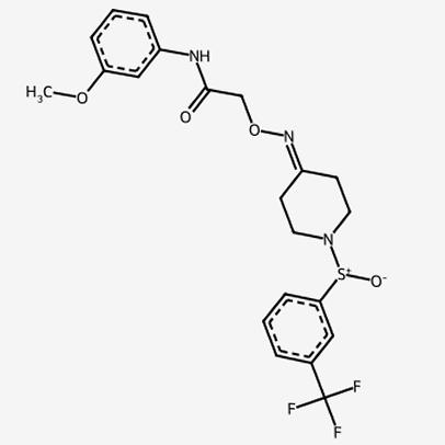 COc1cccc(NC(=O)CON=C2CCN([S+]([O-])c3cccc(C(F)(F)F)c3)CC2)c1